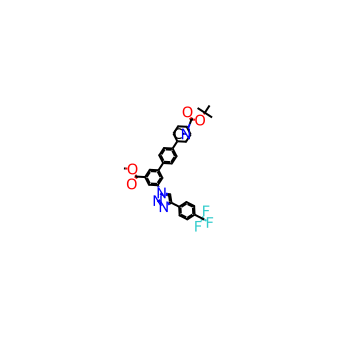 COC(=O)c1cc(-c2ccc(C3CC4CCC3CN4C(=O)OC(C)(C)C)cc2)cc(-n2cc(-c3ccc(C(F)(F)F)cc3)nn2)c1